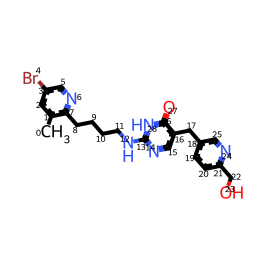 Cc1cc(Br)cnc1CCCCNc1ncc(Cc2ccc(CO)nc2)c(=O)[nH]1